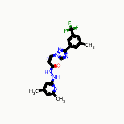 Cc1cc(-c2ncn(/C=C\C(=O)NNc3cc(C)cc(C)n3)n2)cc(C(F)(F)F)c1